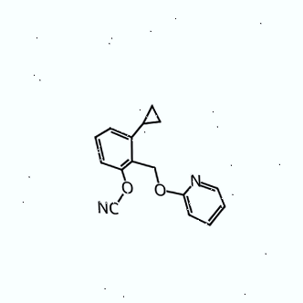 N#COc1cccc(C2CC2)c1COc1ccccn1